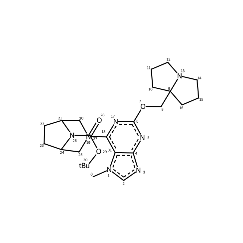 Cn1cnc2nc(OCC34CCCN3CCC4)nc(N3CC4CCC(C3)N4C(=O)OC(C)(C)C)c21